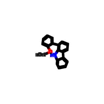 CCCCCCCCOc1ccccc1-c1cccc2c1[nH]c1ccccc12